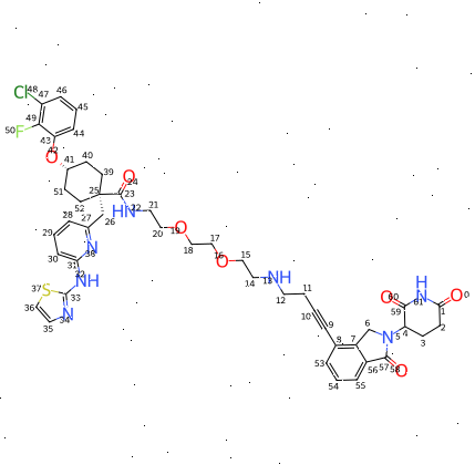 O=C1CCC(N2Cc3c(C#CCCNCCOCCOCCNC(=O)[C@]4(Cc5cccc(Nc6nccs6)n5)CC[C@@H](Oc5cccc(Cl)c5F)CC4)cccc3C2=O)C(=O)N1